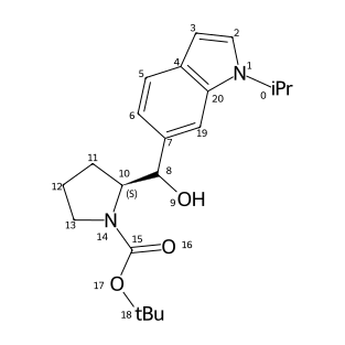 CC(C)n1ccc2ccc(C(O)[C@@H]3CCCN3C(=O)OC(C)(C)C)cc21